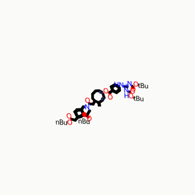 C=C1/C=C\C(OC(=O)c2ccc(N/C(=N/C(=O)OC(C)(C)C)NC(=O)OC(C)(C)C)cc2)=C/CCCC1CC(=O)N(CC(=O)OCCCC)Cc1ccc(CC(=O)OCCCC)cc1